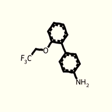 Nc1ccc(-c2ccccc2OCC(F)(F)F)cc1